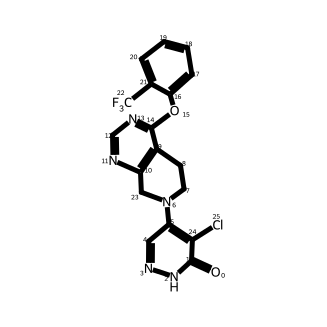 O=c1[nH]ncc(N2CCc3c(ncnc3Oc3ccccc3C(F)(F)F)C2)c1Cl